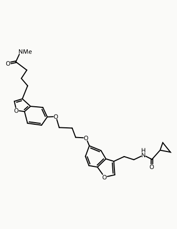 CNC(=O)CCCc1coc2ccc(OCCCOc3ccc4occ(CCNC(=O)C5CC5)c4c3)cc12